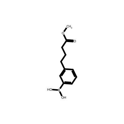 COC(=O)CCCc1cccc(B(O)O)c1